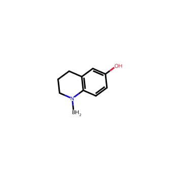 BN1CCCc2cc(O)ccc21